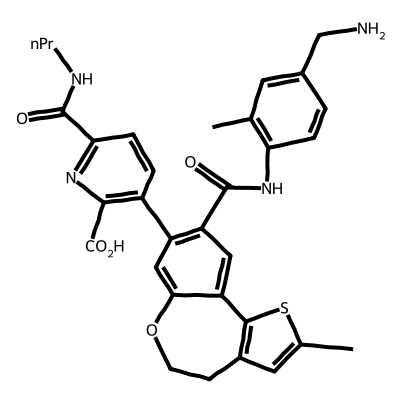 CCCNC(=O)c1ccc(-c2cc3c(cc2C(=O)Nc2ccc(CN)cc2C)-c2sc(C)cc2CCO3)c(C(=O)O)n1